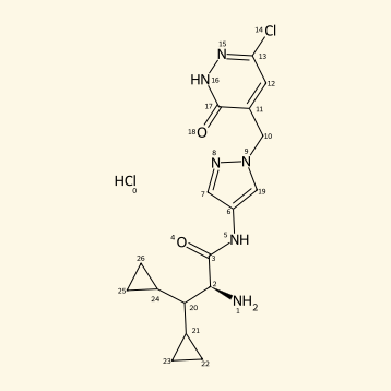 Cl.N[C@H](C(=O)Nc1cnn(Cc2cc(Cl)n[nH]c2=O)c1)C(C1CC1)C1CC1